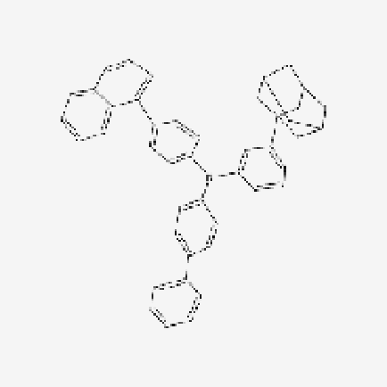 c1ccc(-c2ccc(N(c3ccc(-c4cccc5ccccc45)cc3)c3cccc(C45CC6CC(CC(C6)C4)C5)c3)cc2)cc1